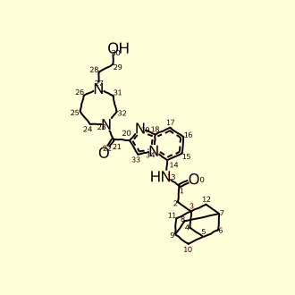 O=C(CC12CC3CC(CC(C3)C1)C2)Nc1cccc2nc(C(=O)N3CCCN(CCO)CC3)cn12